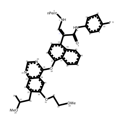 CCCCCN/C=C(\C(=O)Nc1ccc(F)cc1)c1ccc(Oc2ncnc3cc(CC(C)OC)c(OCCOC)cc23)c2ccccc12